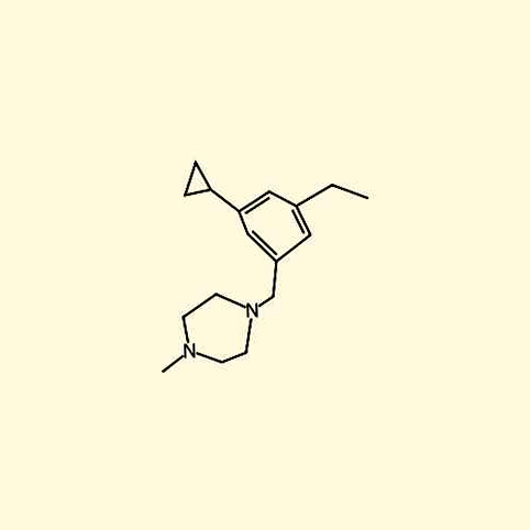 CCc1cc(CN2CCN(C)CC2)cc(C2CC2)c1